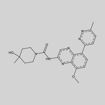 COc1ccc(-c2ccc(C)nn2)c2ncc(NC(=O)N3CCC(C)(O)CC3)nc12